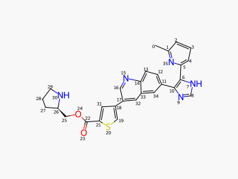 Cc1cccc(-c2[nH]cnc2-c2ccc3ncc(-c4csc(C(=O)OC[C@H]5CCCN5)c4)cc3c2)n1